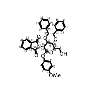 COc1ccc(O[C@@H]2O[C@H](CO)[C@@H](OCc3ccccc3)[C@H](OCc3ccccc3)[C@H]2N2C(=O)c3ccccc3C2=O)cc1